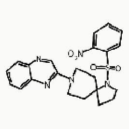 O=[N+]([O-])c1ccccc1S(=O)(=O)N1CCCC12CCN(c1cnc3ccccc3n1)CC2